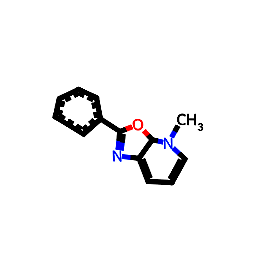 CN1C=CC=C2N=C(c3ccccc3)OC21